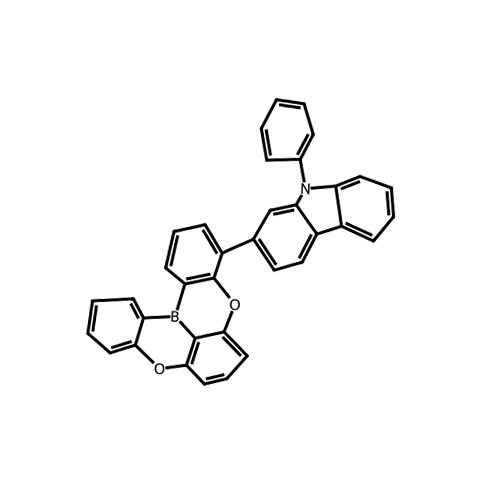 c1ccc(-n2c3ccccc3c3ccc(-c4cccc5c4Oc4cccc6c4B5c4ccccc4O6)cc32)cc1